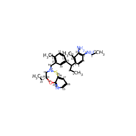 CCNc1ccc(C(CC)c2ccc(C)c(CN3C[C@@H](CC)Oc4ncccc4S3)c2)c(C)c1N